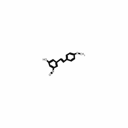 COc1ccc(/C=C/c2cc(O)cc(N=O)c2)cc1